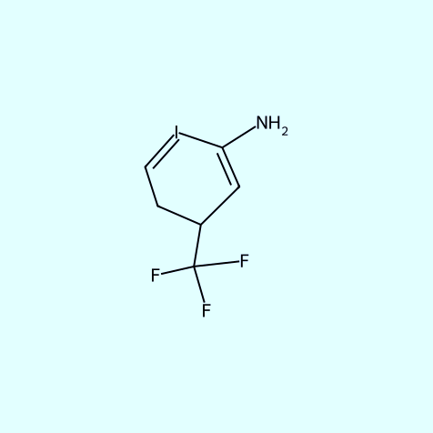 NC1=CC(C(F)(F)F)CC=I1